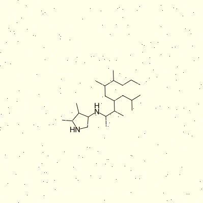 CCCC(C)C(C)CC(CC(C)C)C(C)C(C)NC1CNC(C)C1C